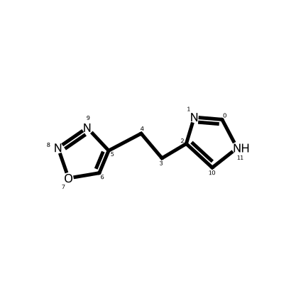 c1nc(CCc2conn2)c[nH]1